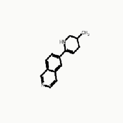 CC1CC=C(c2ccc3cnccc3c2)NC1